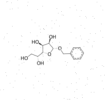 OC[C@@H](O)[C@H]1O[C@@H](OCc2ccccc2)[C@H](O)[C@@H]1O